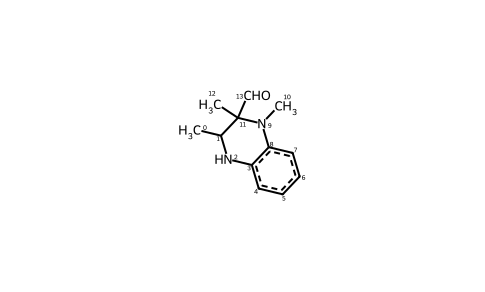 CC1Nc2ccccc2N(C)C1(C)C=O